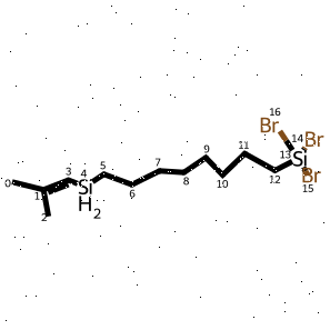 CC(C)=C[SiH2]CCCCCCCC[Si](Br)(Br)Br